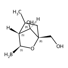 B[C@@H]1O[C@@]2(CO)CC(C)[C@@H]1[C@H]2O